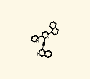 C(#Cc1cncc2ccccc12)c1nc(-c2cccc3ccccc23)ccc1-c1ccccn1